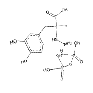 C[C@@](Cc1ccc(O)c(O)c1)(NN)C(=O)O.O=P(O)(O)OP(=O)(O)O